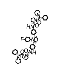 O=C(Nc1ccc([C@@H]2CC[C@@H](c3ccc(NC(=O)[C@@H]4CCCN4C(=O)[C@@H](c4ccccc4)N4CCCCC4)cc3)N2c2ccc(F)cc2)cc1)[C@@H]1CCCN1C(=O)[C@@H](c1ccccc1)N1CCCCC1